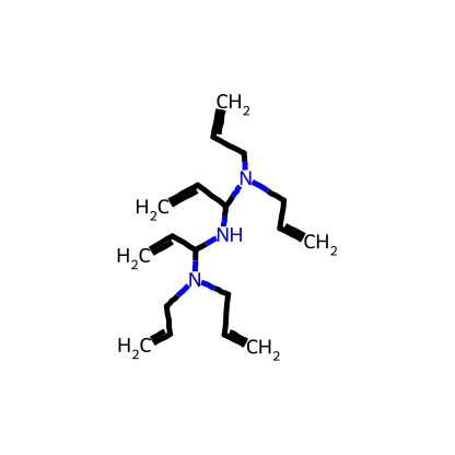 C=CCN(CC=C)C(C=C)NC(C=C)N(CC=C)CC=C